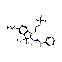 CC1(C)C(/C=C/Nc2ccccc2)=[N+](CCCS(=O)(=O)[O-])c2ccc(C(=O)O)cc21